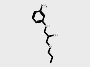 CCCOCC(O)CNc1cccc(N)c1